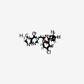 Cn1cnc2ncn(Cc3nc([C@]45C6[C@H]4[C@H]5CN6c4cccc(Cl)c4F)no3)c(=O)c21